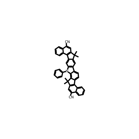 CC1(C)c2cc3c4ccc5c(c4n(-c4ccccc4)c3cc2-c2c1cc(C#N)c1ccccc21)C(C)(C)c1cc(C#N)c2ccccc2c1-5